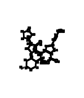 COC(=O)c1sc(C#CC(C)(C)C)cc1N(C(=O)[C@H]1CC[C@H](C)CC1)[C@H]1CCN([C@H]2CCOC2)C1=O